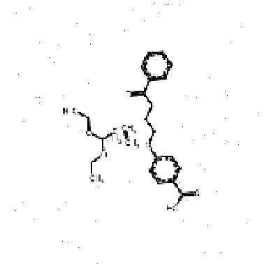 C=C.CCOC(C)OCC.O=C(O)c1ccc(OCCCC(=O)c2ccccc2)cc1